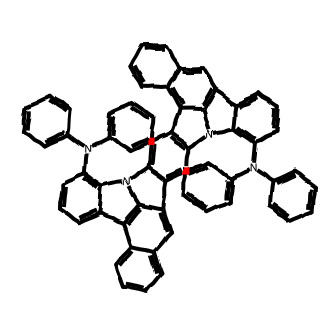 c1ccc(N(c2ccccc2)c2cccc3c4c5ccccc5cc5c6nc7c(cc6n(c23)c54)c2c3ccccc3cc3c4cccc(N(c5ccccc5)c5ccccc5)c4n7c32)cc1